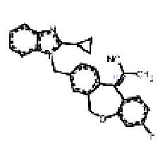 C/C(C#N)=C1/c2ccc(Cn3c(C4CC4)nc4ccccc43)cc2COc2cc(F)ccc21